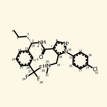 CCC[C@H](NC(=O)c1cnn(-c2ccc(Cl)cc2)c1CNC)c1cccc(C(F)(F)F)c1